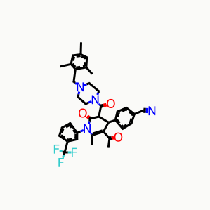 CC(=O)C1=C(C)N(c2cccc(C(F)(F)F)c2)C(=O)C(C(=O)N2CCN(Cc3c(C)cc(C)cc3C)CC2)C1c1ccc(C#N)cc1